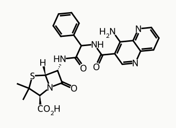 CC1(C)S[C@@H]2[C@H](NC(=O)C(NC(=O)c3cnc4cccnc4c3N)c3ccccc3)C(=O)N2[C@H]1C(=O)O